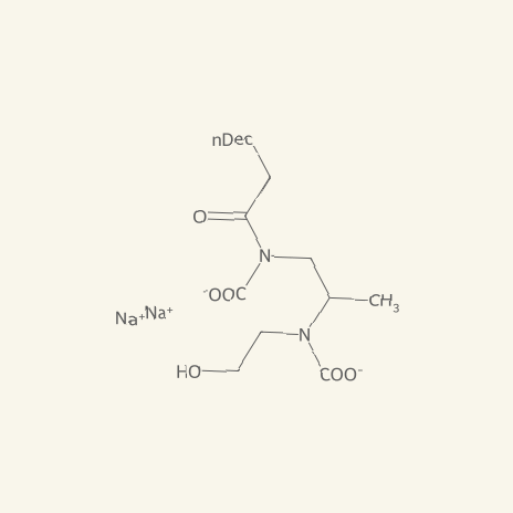 CCCCCCCCCCCC(=O)N(CC(C)N(CCO)C(=O)[O-])C(=O)[O-].[Na+].[Na+]